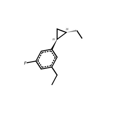 CCc1cc(F)cc([C@H]2C[C@@H]2CC)c1